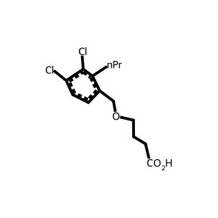 CCCc1c(COCCCC(=O)O)ccc(Cl)c1Cl